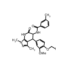 COc1cc(C2c3c(C)nn(C)c3NC(=O)C2NC(=O)c2cccc(C)c2)ccc1OCI